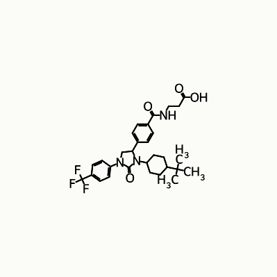 CC(C)(C)C1CCC(N2C(=O)N(c3ccc(C(F)(F)F)cc3)CC2c2ccc(C(=O)NCCC(=O)O)cc2)CC1